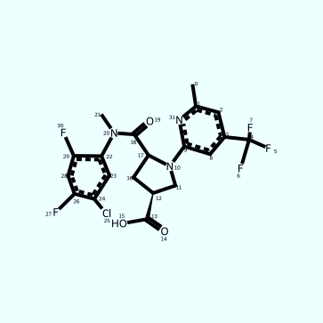 Cc1cc(C(F)(F)F)cc(N2C[C@@H](C(=O)O)CC2C(=O)N(C)c2cc(Cl)c(F)cc2F)n1